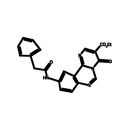 CCOC(=O)c1cnc2c3cc(NC(=O)Cc4ccccc4)ccc3ncn2c1=O